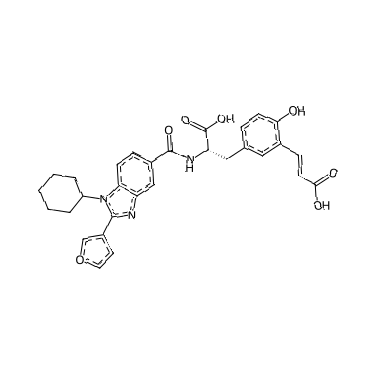 O=C(O)C=Cc1cc(C[C@H](NC(=O)c2ccc3c(c2)nc(-c2ccoc2)n3C2CCCCC2)C(=O)O)ccc1O